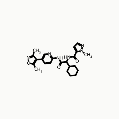 Cc1noc(C)c1-c1ccc(NC(=O)C(NC(=O)c2ccnn2C)C2CCCCC2)nc1